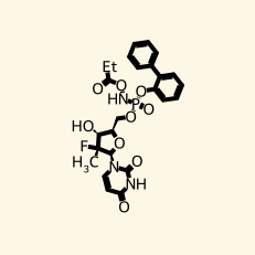 CCC(=O)ONP(=O)(OC[C@H]1O[C@@H](n2ccc(=O)[nH]c2=O)[C@](C)(F)[C@@H]1O)Oc1ccccc1-c1ccccc1